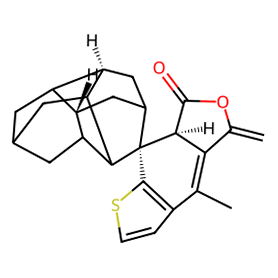 C=C1OC(=O)[C@H]2C1=C(C)c1ccsc1[C@]21C2C[C@@H]3C4CC5CC(C41)[C@H](C2)C3C5